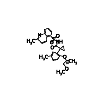 COC[C@H](C)Oc1ccc(C)cc1C1(C(=O)NS(=O)(=O)c2cccc3nc(C)ccc23)CC1